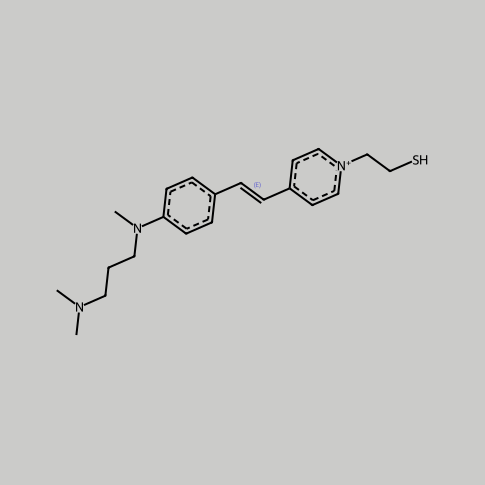 CN(C)CCCN(C)c1ccc(/C=C/c2cc[n+](CCS)cc2)cc1